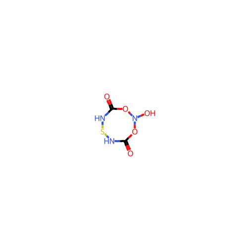 O=C1NSNC(=O)ON(O)O1